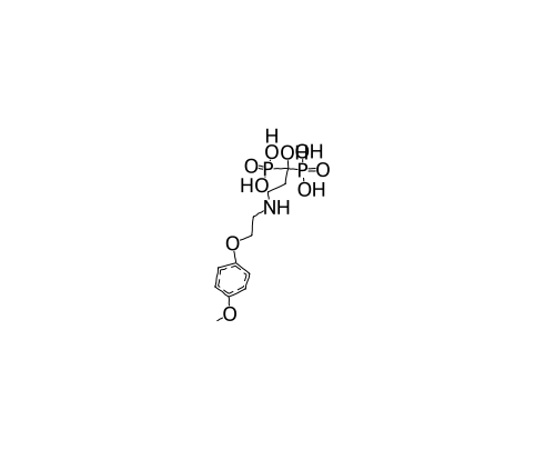 COc1ccc(OCCNCCC(O)(P(=O)(O)O)P(=O)(O)O)cc1